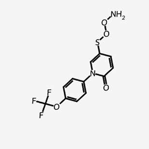 NOOSc1ccc(=O)n(-c2ccc(OC(F)(F)F)cc2)c1